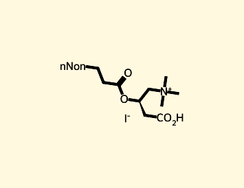 CCCCCCCCCCCC(=O)O[C@H](CC(=O)O)C[N+](C)(C)C.[I-]